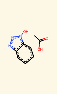 CC(=O)O.On1nnc2ccccc21